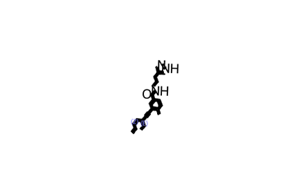 C=C/C=C\C(C#Cc1cc(C(=O)NCCCc2cn[nH]c2)ccc1C)=C/C